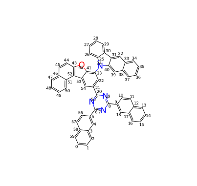 c1ccc2cc(-c3nc(-c4ccc5ccccc5c4)nc(-c4cc(-n5c6ccccc6c6cc7ccccc7cc65)c5oc6ccc7ccccc7c6c5c4)n3)ccc2c1